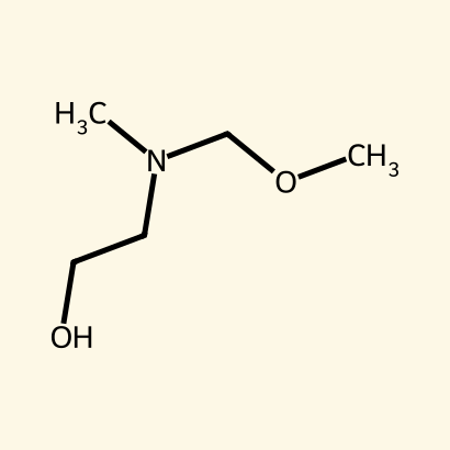 COCN(C)CCO